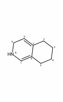 C1=C2CCCCC2=CNC1